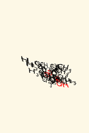 CCC(C)(C)c1ccc(OC(=O)c2cccc(C(=O)O)c2-c2ccc(C(C)(C)CC)cc2C(C)(C)CC)c(C(C)(C)CC)c1